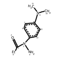 CCC(=O)N(N)c1ccc(N(C)C)cc1